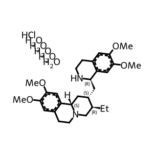 CC[C@H]1CN2CCc3cc(OC)c(OC)cc3[C@@H]2C[C@@H]1C[C@H]1NCCc2cc(OC)c(OC)cc21.Cl.O.O.O.O.O